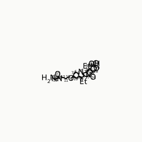 CCc1c2c(nc3ccc(OCCCNC(=O)CN)cc13)-c1cc3c(c(=O)n1C2)COC(=O)[C@]3(O)CC